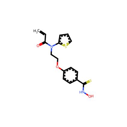 C=CC(=O)N(CCOc1ccc(C(=S)NO)cc1)c1cccs1